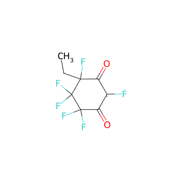 CCC1(F)C(=O)[C](F)C(=O)C(F)(F)C1(F)F